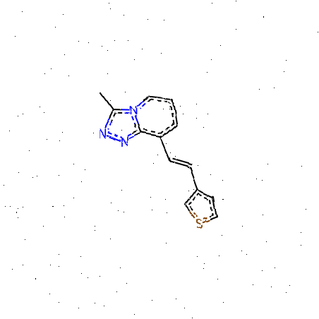 Cc1nnc2c(/C=C/c3ccsc3)cccn12